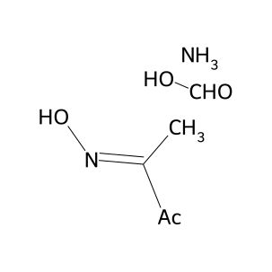 CC(=O)C(C)=NO.N.O=CO